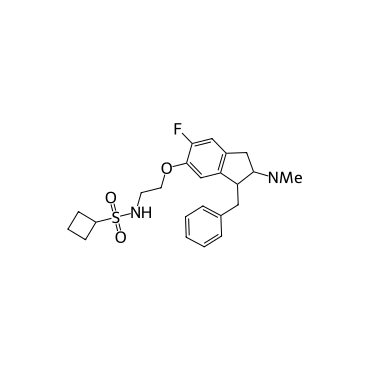 CNC1Cc2cc(F)c(OCCNS(=O)(=O)C3CCC3)cc2C1Cc1ccccc1